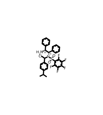 CC(C)c1ccc(C(Cl)N([C@@H](c2ccccc2)[C@@H](N)c2ccccc2)S(=O)(=O)c2c(F)c(F)c(F)c(F)c2F)cc1